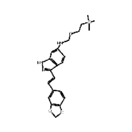 C[Si](C)(C)CCOCNc1ccc2c(C=Cc3ccc4c(c3)OCO4)n[nH]c2c1